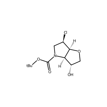 CC(C)(C)OC(=O)N1C[C@@H](Cl)[C@H]2OC[C@H](O)[C@H]21